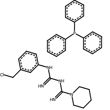 N=C(NC(=N)N1CCCCC1)Nc1cccc(CCl)c1.c1ccc(P(c2ccccc2)c2ccccc2)cc1